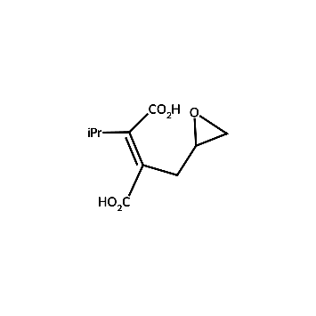 CC(C)C(C(=O)O)=C(CC1CO1)C(=O)O